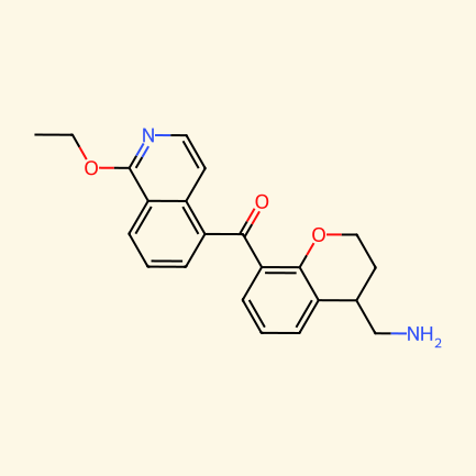 CCOc1nccc2c(C(=O)c3cccc4c3OCCC4CN)cccc12